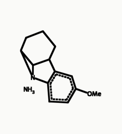 COc1ccc2c(c1)C1CCCC3C1N23.N